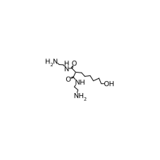 NCCNC(=O)C(CCCCCCO)C(=O)NCCN